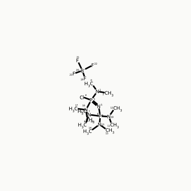 CN(C)P(Cl)(=N[P+](N(C)C)(N(C)C)N(C)C)N(C)C.F[B-](F)(F)F